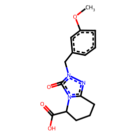 COc1cccc(Cn2nc3n(c2=O)C(C(=O)O)CCC3)c1